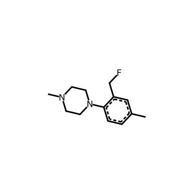 Cc1ccc(N2CCN(C)CC2)c(CF)c1